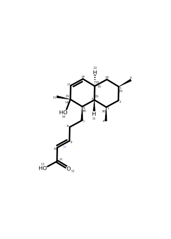 C[C@H]1C[C@@H](C)[C@@H]2[C@@H](CC/C=C/C(=O)O)[C@](C)(O)C=C[C@H]2C1